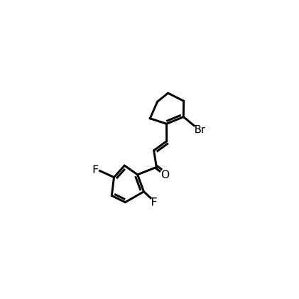 O=C(C=CC1=C(Br)CCCC1)c1cc(F)ccc1F